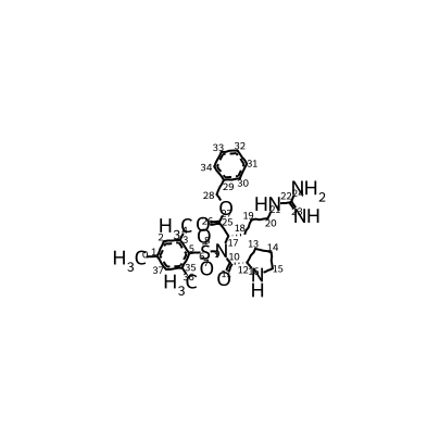 Cc1cc(C)c(S(=O)(=O)N(C(=O)[C@@H]2CCCN2)[C@@H](CCCNC(=N)N)C(=O)OCc2ccccc2)c(C)c1